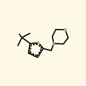 CC(C)(C)c1ccc(CN2CCOCC2)s1